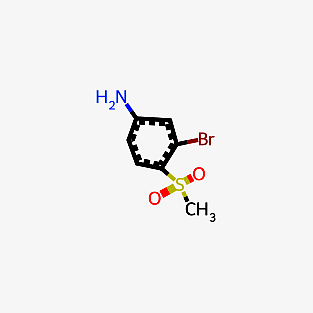 CS(=O)(=O)c1ccc(N)cc1Br